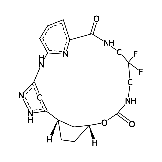 O=C1NCC(F)(F)CNC(=O)c2cccc(n2)Nc2cc([nH]n2)[C@H]2CC[C@H](C2)O1